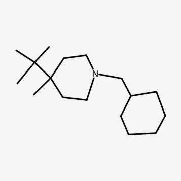 CC(C)(C)C1(C)CCN(CC2CCCCC2)CC1